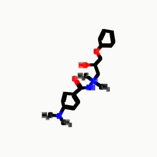 CN(C)c1ccc(C(=O)N[N+](C)(C)CC(O)COc2ccccc2)cc1